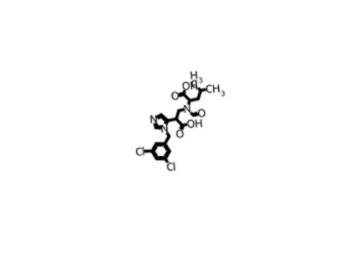 CC(C)CC(C(=O)O)N(C=O)CC(C(=O)O)c1cncn1Cc1cc(Cl)cc(Cl)c1